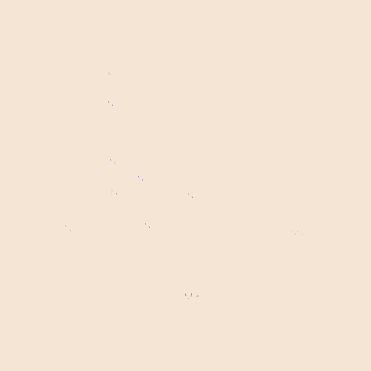 COc1cc(NC2=N[N+]3(N4CCN(C(C)=O)CC4)C=CN=CC3=N2)cc(OC)c1